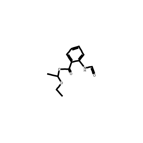 CCOC(C)OC(=O)c1ccccc1NC=O